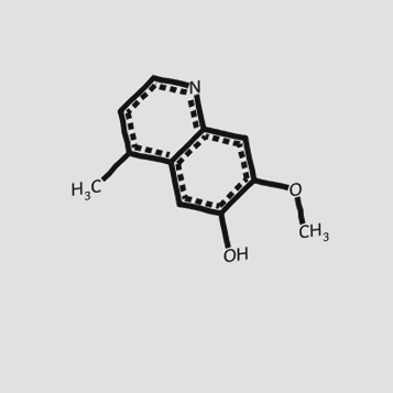 COc1cc2nccc(C)c2cc1O